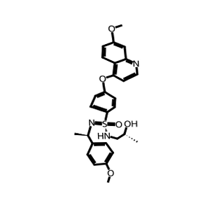 COc1ccc([C@@H](C)N=[S@@](=O)(NC[C@@H](C)O)c2ccc(Oc3ccnc4cc(OC)ccc34)cc2)cc1